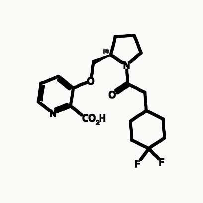 O=C(O)c1ncccc1OC[C@H]1CCCN1C(=O)CC1CCC(F)(F)CC1